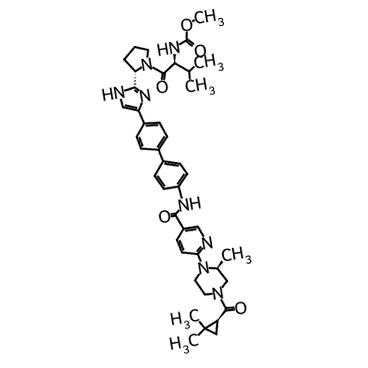 COC(=O)N[C@H](C(=O)N1CCC[C@H]1c1nc(-c2ccc(-c3ccc(NC(=O)c4ccc(N5CCN(C(=O)[C@H]6CC6(C)C)C[C@@H]5C)nc4)cc3)cc2)c[nH]1)C(C)C